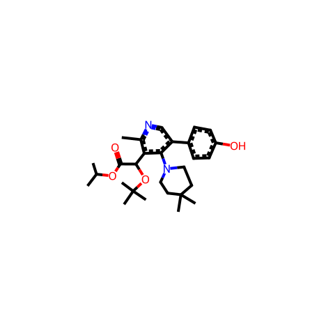 Cc1ncc(-c2ccc(O)cc2)c(N2CCC(C)(C)CC2)c1C(OC(C)(C)C)C(=O)OC(C)C